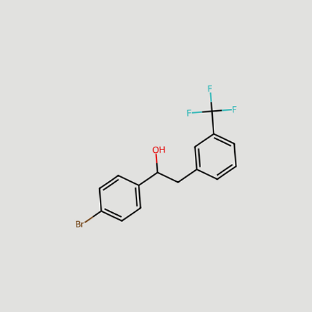 OC(Cc1cccc(C(F)(F)F)c1)c1ccc(Br)cc1